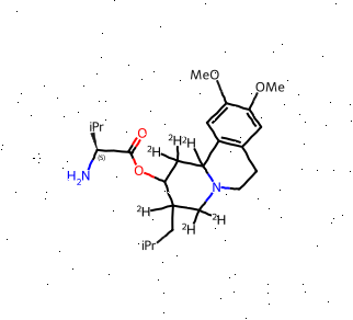 [2H]C1([2H])C(OC(=O)[C@@H](N)C(C)C)C([2H])(CC(C)C)C([2H])([2H])N2CCc3cc(OC)c(OC)cc3C21[2H]